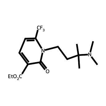 CCOC(=O)c1ccc(C(F)(F)F)n(CCC(C)(C)N(C)C)c1=O